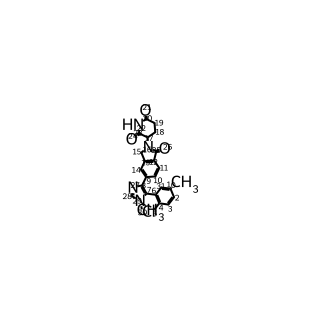 Cc1ccc(Cl)c(-c2c(-c3ccc4c(c3)CN(C3CCC(=O)NC3=O)C4=O)ncn2C)c1